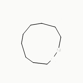 C[C@H]1CCCCCCCCNC1